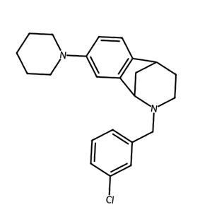 Clc1cccc(CN2CCC3CC2c2cc(N4CCCCC4)ccc23)c1